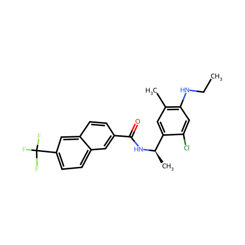 CCNc1cc(Cl)c([C@@H](C)NC(=O)c2ccc3cc(C(F)(F)F)ccc3c2)cc1C